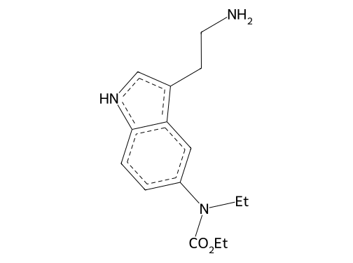 CCOC(=O)N(CC)c1ccc2[nH]cc(CCN)c2c1